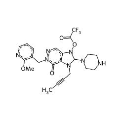 CC#CCN1c2c(cnn(Cc3cccnc3OC)c2=O)N(OC(=O)C(F)(F)F)C1N1CCNCC1